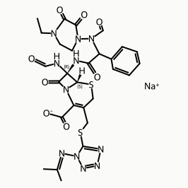 CCN1CCN(N(C=O)C(C(=O)N[C@]2(NC=O)C(=O)N3C(C(=O)[O-])=C(CSc4nnnn4N=C(C)C)CS[C@H]32)c2ccccc2)C(=O)C1=O.[Na+]